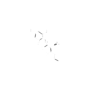 C=CC/C(O)=C(\C#N)C(=S)Nc1c(F)cc(F)cc1F